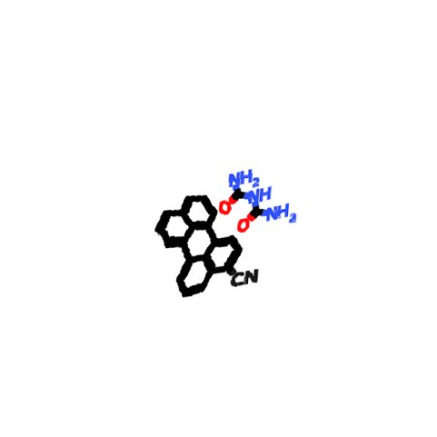 N#Cc1ccc2c3cccc4cccc(c5cccc1c52)c43.NC(=O)NC(N)=O